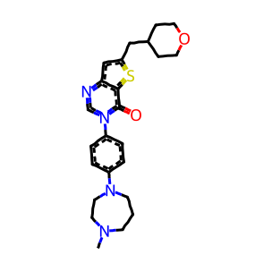 CN1CCCN(c2ccc(-n3cnc4cc(CC5CCOCC5)sc4c3=O)cc2)CC1